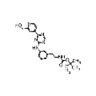 CC(C)(C)OC(=O)NCCc1cccc(Nc2ncnc(-c3ccnc(CO)c3)n2)c1